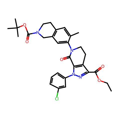 CCOC(=O)c1nn(-c2cccc(Cl)c2)c2c1CCN(c1cc3c(cc1C)CCN(C(=O)OC(C)(C)C)C3)C2=O